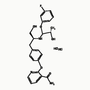 C[C@H](O)C(N[C@H](CO)Cc1ccc(Oc2ncccc2C(N)=O)cc1)Oc1cccc(F)c1.Cl.Cl